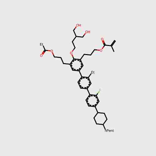 C=C(C)C(=O)OCCCc1cc(-c2ccc(-c3ccc(C4CCC(CCCCC)CC4)cc3F)cc2CC)cc(CCCOC(=O)CC)c1OCCC(CO)CO